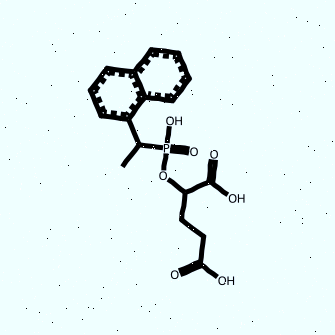 CC(c1cccc2ccccc12)P(=O)(O)OC(CCC(=O)O)C(=O)O